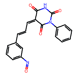 O=Nc1cccc(/C=C/C=C2/C(=O)NC(=O)N(c3ccccc3)C2=O)c1